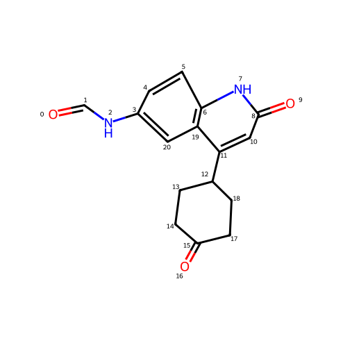 O=CNc1ccc2[nH]c(=O)cc(C3CCC(=O)CC3)c2c1